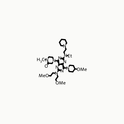 CCN(CCN1CCCCC1)c1nc(N2CCN(C)C(=O)C2)c2nc(N(CCOC)CCOC)nc(N3CCC(OC)CC3)c2n1